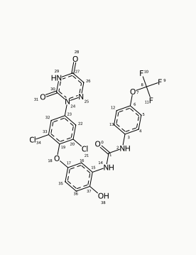 O=C(Nc1ccc(OC(F)(F)F)cc1)Nc1cc(Oc2c(Cl)cc(-n3ncc(=O)[nH]c3=O)cc2Cl)ccc1O